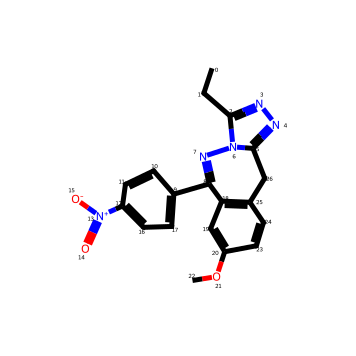 CCc1nnc2n1N=C(c1ccc([N+](=O)[O-])cc1)c1cc(OC)ccc1C2